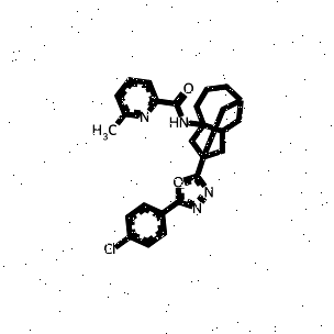 Cc1cccc(C(=O)NC23CCCC4CC2CC(c2nnc(-c5ccc(Cl)cc5)o2)(C4)C3)n1